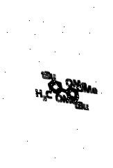 COc1cc(C(C)(C)C)cc(-c2cc(C(C)(C)C)cc(C)c2OC)c1OC